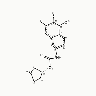 Cc1cc2cc(NC(=O)O[C@@H]3CCOC3)ncc2c(Cl)c1F